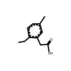 CCc1ccc(C)cc1CC(=O)O